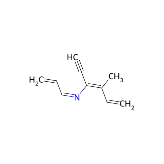 C#CC(/N=C\C=C)=C(\C)C=C